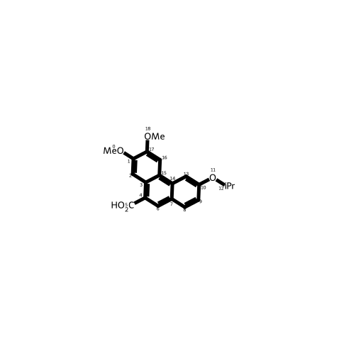 COc1cc2c(C(=O)O)cc3ccc(OC(C)C)cc3c2cc1OC